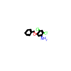 Nc1cc(OCc2ccccc2)c(Cl)cc1Cl